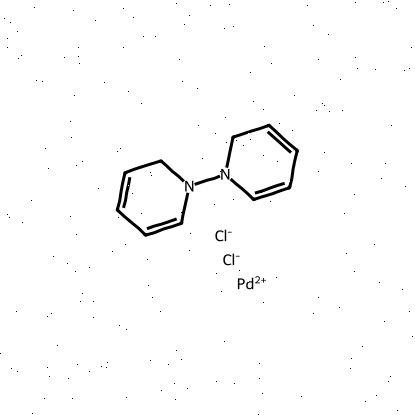 C1=CCN(N2C=CC=CC2)C=C1.[Cl-].[Cl-].[Pd+2]